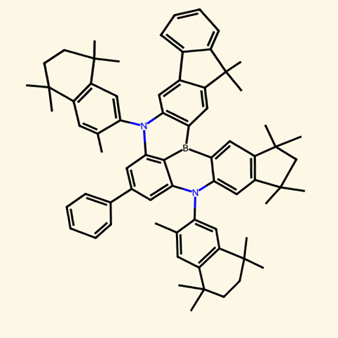 Cc1cc2c(cc1N1c3cc4c(cc3B3c5cc6c(cc5N(c5cc7c(cc5C)C(C)(C)CCC7(C)C)c5cc(-c7ccccc7)cc1c53)C(C)(C)CC6(C)C)C(C)(C)c1ccccc1-4)C(C)(C)CCC2(C)C